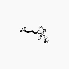 CC(C)OP(=O)(OCCCN(C)C)OC(C)C